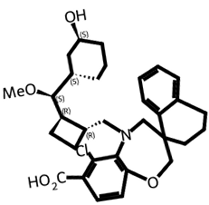 CO[C@@H]([C@H]1CCC[C@H](O)C1)[C@@H]1CC[C@H]1CN1CC2(CCCc3ccccc32)COc2ccc(C(=O)O)c(Cl)c21